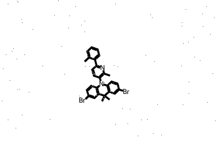 Cc1ccccc1-c1ccc(N2c3ccc(Br)cc3C(C)(C)c3cc(Br)ccc32)c(C)n1